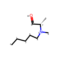 CCCCCN(C)[C@@H](C)[C]=O